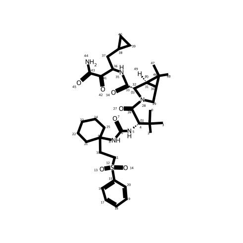 CC(C)(C)[C@H](NC(=O)NC1(CCS(=O)(=O)c2ccccc2)CCCCC1)C(=O)N1CC2[C@@H]([C@H]1C(=O)NC(CC1CC1)C(=O)C(N)=O)C2(C)C